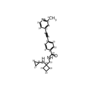 Cc1cc(C#Cc2ccc(C(=O)NCC3(NC4CC4)CCC3)cc2)ccn1